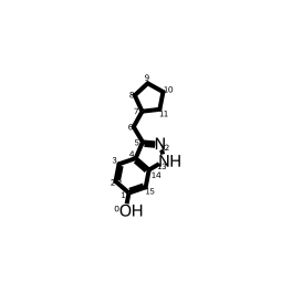 Oc1[c]cc2c(CC3CCCC3)n[nH]c2c1